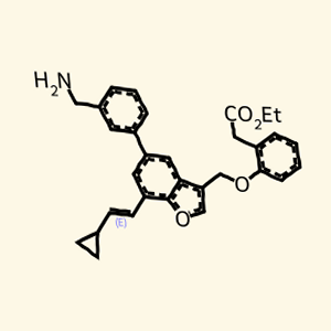 CCOC(=O)Cc1ccccc1OCc1coc2c(/C=C/C3CC3)cc(-c3cccc(CN)c3)cc12